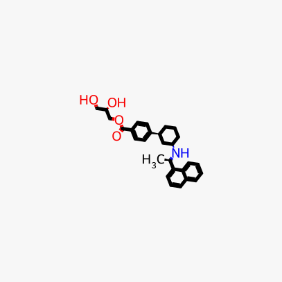 C[C@@H](N[C@H]1CCC[C@H](c2ccc(C(=O)OC[C@H](O)CO)cc2)C1)c1cccc2ccccc12